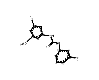 COc1cc(Cl)cc(NC(=O)Nc2cccc(Br)c2)c1